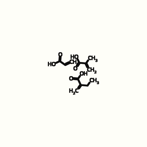 C=C(C)C(=O)O.C=C(CC)C(=O)O.C=CC(=O)O